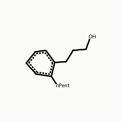 CCCCCc1ccccc1CCCO